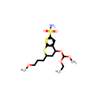 CCOC(OC)OC1CC(CCCOC)Sc2sc(S(N)(=O)=O)cc21